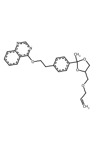 C=CCOCC1COC(C)(c2ccc(CCOc3ncnc4ccccc34)cc2)O1